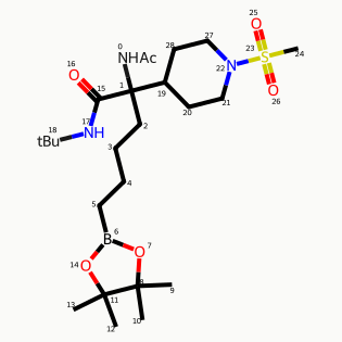 CC(=O)NC(CCCCB1OC(C)(C)C(C)(C)O1)(C(=O)NC(C)(C)C)C1CCN(S(C)(=O)=O)CC1